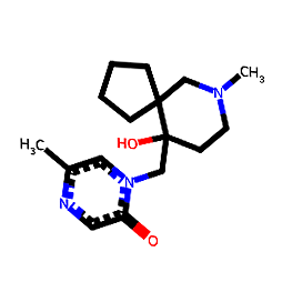 Cc1cn(CC2(O)CCN(C)CC23CCCC3)c(=O)cn1